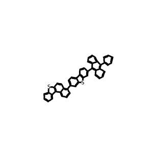 c1ccc(-c2c3ccccc3c(-c3ccc4c(c3)sc3cc(-c5cccc6c5ccc5sc7ccccc7c56)ccc34)c3ccccc23)cc1